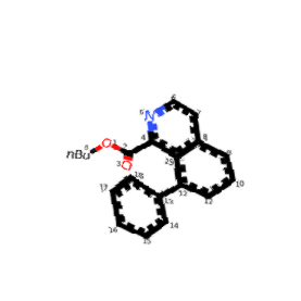 CCCCOC(=O)c1nccc2cccc(-c3ccccc3)c12